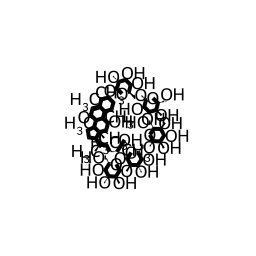 C[C@H](CC[C@@H](O[C@@H]1O[C@H](CO[C@@H]2O[C@H](CO)[C@@H](O)[C@H](O)[C@H]2O)[C@@H](O)[C@H](O)[C@H]1O[C@H]1O[C@@H](CO)[C@H](O)[C@@H](O)[C@@H]1O)C(C)(C)O)C1CC[C@@]2(C)C3C(=O)C=C4C(CC[C@H](O[C@@H]5O[C@H](CO[C@@H]6O[C@H](CO)[C@@H](O)[C@H](O)[C@H]6O)[C@@H](O)[C@H](O)[C@H]5O)C4(C)C)[C@]3(C)[C@H](O)C[C@]12C